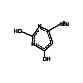 CCCCc1cc(O)nc(O)n1